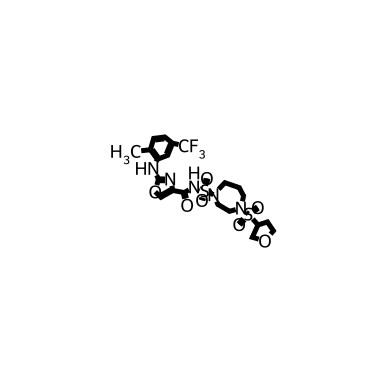 Cc1ccc(C(F)(F)F)cc1Nc1nc(C(=O)NS(=O)(=O)N2CCCN(S(=O)(=O)C3CCOC3)CC2)co1